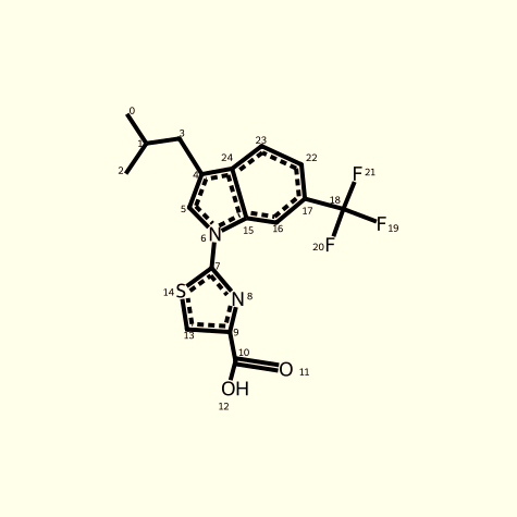 CC(C)Cc1cn(-c2nc(C(=O)O)cs2)c2cc(C(F)(F)F)ccc12